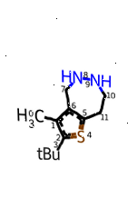 Cc1c(C(C)(C)C)sc2c1CNNCC2